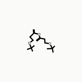 C=C(CCOC(C)(C)C)OC(=C)CCOC(C)(C)C